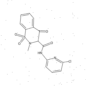 CN1C(C(=O)Nc2cccc(Cl)n2)C(=O)c2ccccc2S1(=O)=O